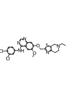 CCN1CCc2nc(COc3cc4ncnc(Nc5ccc(Cl)c(Cl)c5)c4cc3OC)sc2C1